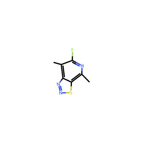 Cc1c(F)nc(C)c2snnc12